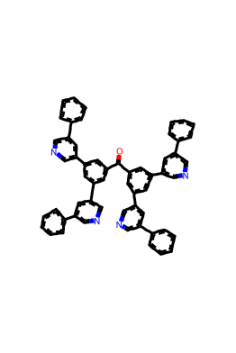 O=C(c1cc(-c2cncc(-c3ccccc3)c2)cc(-c2cncc(-c3ccccc3)c2)c1)c1cc(-c2cncc(-c3ccccc3)c2)cc(-c2cncc(-c3ccccc3)c2)c1